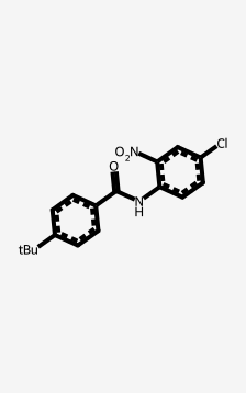 CC(C)(C)c1ccc(C(=O)Nc2ccc(Cl)cc2[N+](=O)[O-])cc1